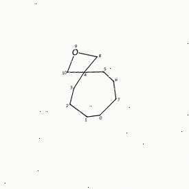 C1CCCC2(CCC1)COC2